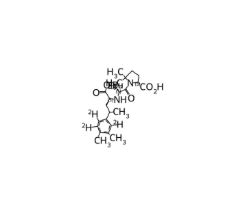 [2H]c1c([2H])c(C(C)C[C@H](N[C@@H](CC)C(=O)N2[C@H](C(=O)O)CCC2(C)C)C(=O)OCC(C)C)c([2H])c(C)c1C